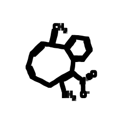 B/C1=C(\[N+](=O)[O-])c2ccccc2C(=C)/C=C\C=C/C1